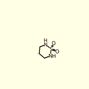 O=S1(=O)NC[CH]CN1